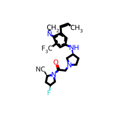 C=Nc1c(/C=C\C)cc(N[C@H]2CCN(CC(=O)N3C[C@@H](F)C[C@H]3C#N)C2)cc1C(F)(F)F